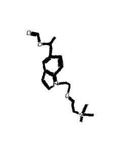 CC(OC=O)c1ccc2c(ccn2COCC[Si](C)(C)C)c1